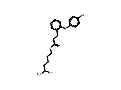 CN(C)CCCCNC(=O)CCc1ccccc1Sc1ccc(Cl)cc1